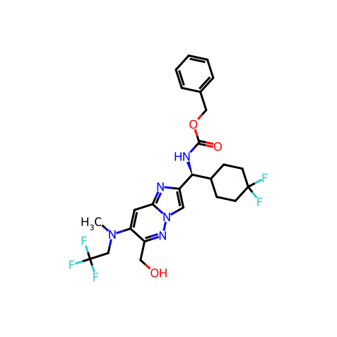 CN(CC(F)(F)F)c1cc2nc([C@@H](NC(=O)OCc3ccccc3)C3CCC(F)(F)CC3)cn2nc1CO